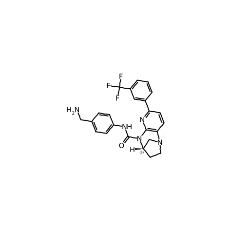 NCc1ccc(NC(=O)N2c3nc(-c4cccc(C(F)(F)F)c4)ccc3N3CC[C@H]2C3)cc1